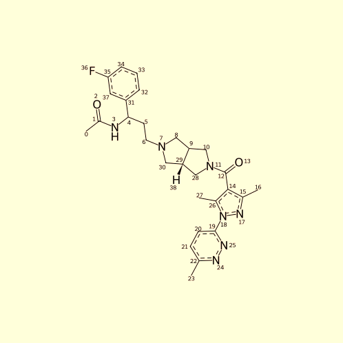 CC(=O)NC(CCN1CC2CN(C(=O)c3c(C)nn(-c4ccc(C)nn4)c3C)C[C@@H]2C1)c1cccc(F)c1